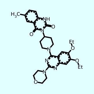 CCOc1cc2nc(N3CCOCC3)nc(N3CCC(n4c(=O)[nH]c5ccc(C)cc5c4=O)CC3)c2cc1OCC